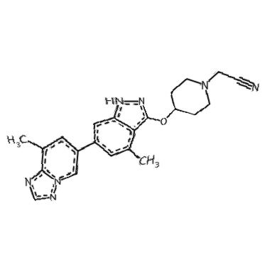 Cc1cc(-c2cc(C)c3ncnn3c2)cc2[nH]nc(OC3CCN(CC#N)CC3)c12